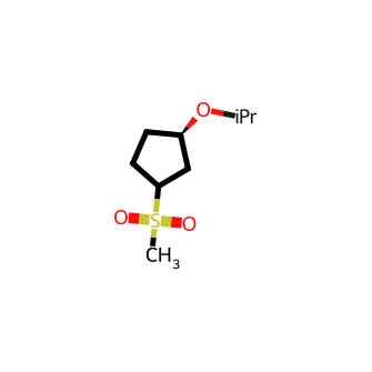 CC(C)O[C@@H]1CCC(S(C)(=O)=O)C1